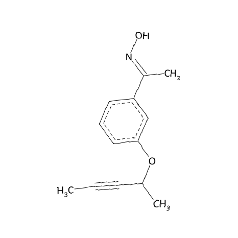 CC#CC(C)Oc1cccc(C(C)=NO)c1